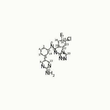 CN(c1cccc(-c2cnc(N)nc2)c1)c1nc2nncn2c2cc(Cl)c(F)cc12